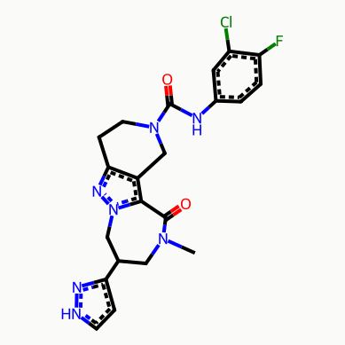 CN1CC(c2cc[nH]n2)Cn2nc3c(c2C1=O)CN(C(=O)Nc1ccc(F)c(Cl)c1)CC3